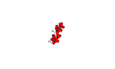 CC1(C)c2ccccc2-c2cc3c4ccccc4n(-c4cc(-c5ccc6c7ccccc7c7cc(-c8ccc9c(c8)-c8cc%10c%11ccccc%11n(-c%11cc(-c%12nc(-c%13ccccc%13)nc(-c%13cccc%14ccccc%13%14)n%12)cc(-n%12c%13ccccc%13c%13ccccc%13%12)c%11)c%10cc8C9(C)C)ccc7c6c5)cc(-c5nc(-c6ccccc6)nc(-c6ccccc6)n5)c4)c3cc21